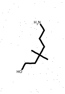 CC(C)(CCO)CCCN